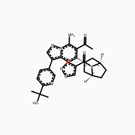 CC(=O)c1c([C@@H]2C[C@H]3CC[C@@H](C2)N3C(=O)c2cnn[nH]2)nc2c(-c3ccc(C(C)(C)O)nc3)cnn2c1N